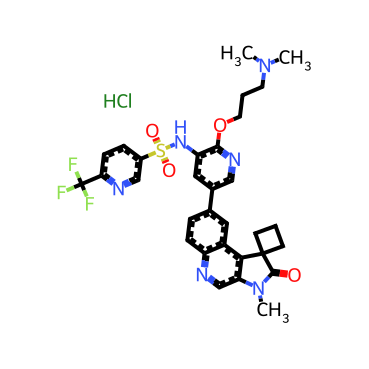 CN(C)CCCOc1ncc(-c2ccc3ncc4c(c3c2)C2(CCC2)C(=O)N4C)cc1NS(=O)(=O)c1ccc(C(F)(F)F)nc1.Cl